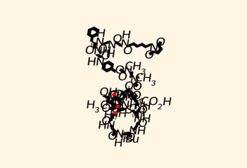 CC[C@H](C)[C@H]1NC(=O)CNC(=O)[C@@H]2Cc3c([nH]c4cc(OC)ccc34)SC[C@H](NC(=O)CNC1=O)C(=O)N[C@@H](CC(=O)O)C(=O)N1C[C@@H](OC(=O)N(C)CCN(C)C(=O)OCc3ccc(NC(=O)CNC(=O)[C@@H](Cc4ccccc4)NC(=O)CNC(=O)CNC(=O)CCCCCN4C(=O)C=CC4=O)cc3)CC1C(=O)N[C@H]([C@@H](C)[C@@H](O)CO)C(=O)N2